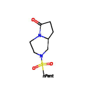 CCCCCS(=O)(=O)N1CCN2C(=O)CCC2C1